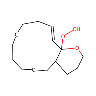 OOC12/C=C/CCCCCCCCC1CCCO2